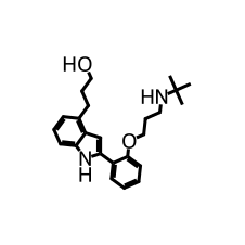 CC(C)(C)NCCCOc1ccccc1-c1cc2c(CCCO)cccc2[nH]1